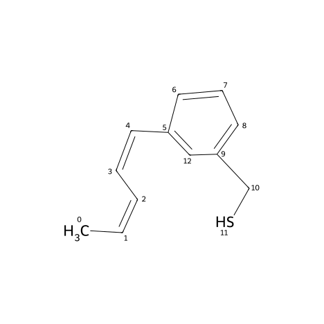 C/C=C\C=C/c1cccc(CS)c1